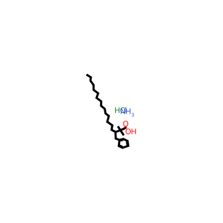 CCCCCCCCCCCCCCCC(Cc1ccccc1)C(C)(C)C(=O)O.Cl.N